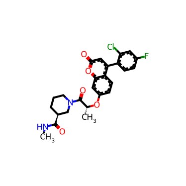 CNC(=O)[C@H]1CCCN(C(=O)[C@@H](C)Oc2ccc3c(-c4ccc(F)cc4Cl)cc(=O)oc3c2)C1